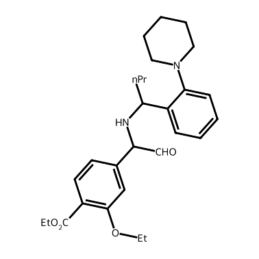 CCCC(NC(C=O)c1ccc(C(=O)OCC)c(OCC)c1)c1ccccc1N1CCCCC1